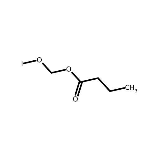 CCCC(=O)OCOI